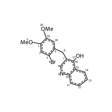 COc1cc(Br)c(Cc2cnc3ccccc3c2O)cc1OC